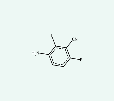 N#Cc1c(F)ccc(N)c1I